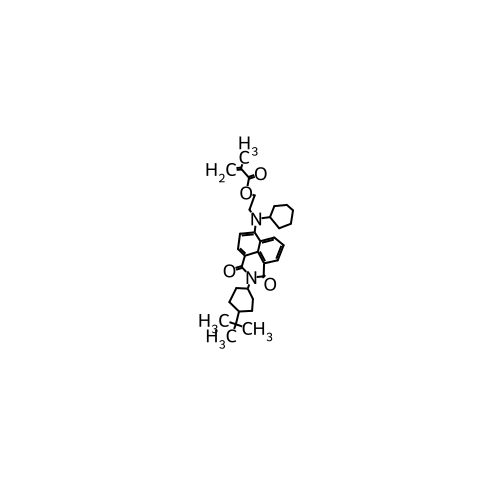 C=C(C)C(=O)OCCN(c1ccc2c3c(cccc13)C(=O)N(C1CCC(C(C)(C)C)CC1)C2=O)C1CCCCC1